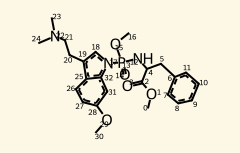 COC(=O)C(Cc1ccccc1)NP(=O)(OC)n1cc(CCN(C)C)c2ccc(OC)cc21